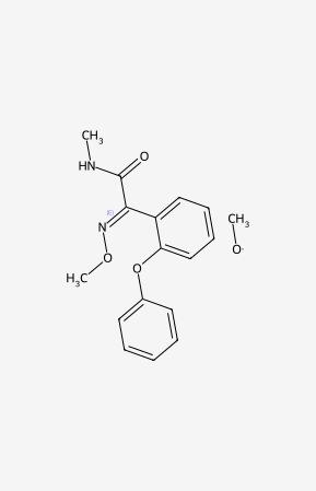 CNC(=O)/C(=N/OC)c1ccccc1Oc1ccccc1.C[O]